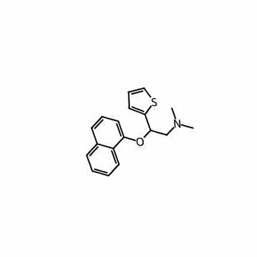 CN(C)CC(Oc1cccc2ccccc12)c1cccs1